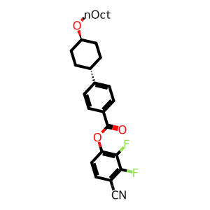 CCCCCCCCO[C@H]1CC[C@H](c2ccc(C(=O)Oc3ccc(C#N)c(F)c3F)cc2)CC1